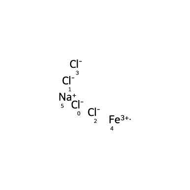 [Cl-].[Cl-].[Cl-].[Cl-].[Fe+3].[Na+]